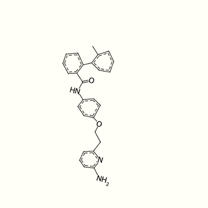 Cc1ccccc1-c1ccccc1C(=O)Nc1ccc(OCCc2cccc(N)n2)cc1